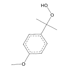 COc1ccc(C(C)(C)OO)cc1